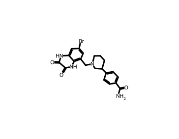 NC(=O)c1ccc(C2CCCN(Cc3cc(Br)cc4[nH]c(=O)c(=O)[nH]c34)C2)cc1